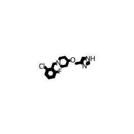 Fc1cccc(Cl)c1CN1CCC(OCc2c[nH]cn2)CC1